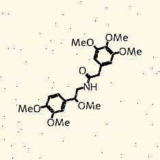 COc1ccc(C(CNC(=O)Cc2cc(OC)c(OC)c(OC)c2)OC)cc1OC